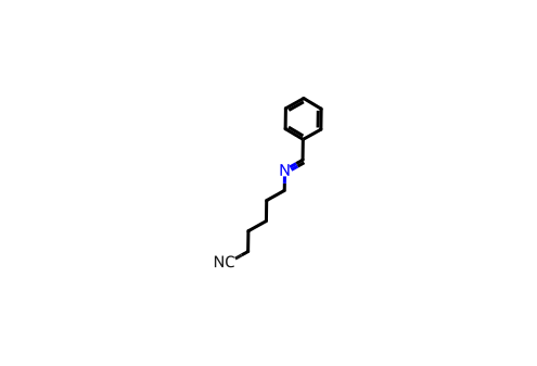 N#CCCCCCN=Cc1ccccc1